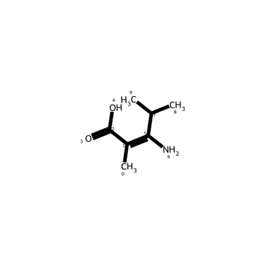 CC(C(=O)O)=C(N)C(C)C